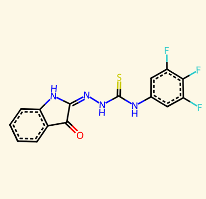 O=C1C(=NNC(=S)Nc2cc(F)c(F)c(F)c2)Nc2ccccc21